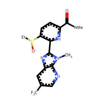 CC[S+]([O-])c1ccc(C(=O)NC)nc1-c1nc2cc(C(F)(F)F)cnc2n1C